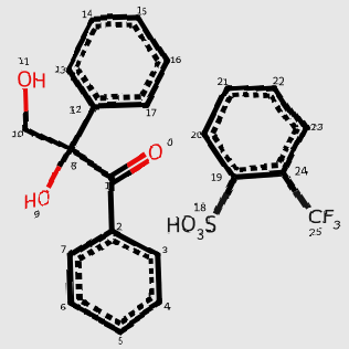 O=C(c1ccccc1)C(O)(CO)c1ccccc1.O=S(=O)(O)c1ccccc1C(F)(F)F